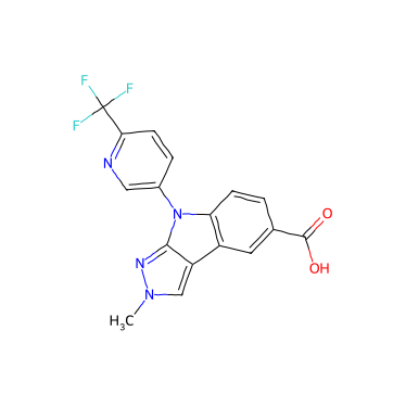 Cn1cc2c3cc(C(=O)O)ccc3n(-c3ccc(C(F)(F)F)nc3)c2n1